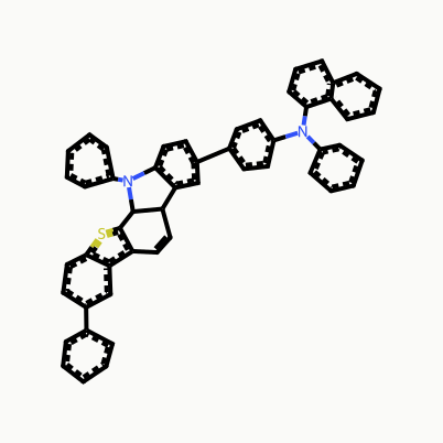 C1=CC2c3cc(-c4ccc(N(c5ccccc5)c5cccc6ccccc56)cc4)ccc3N(c3ccccc3)C2c2sc3ccc(-c4ccccc4)cc3c21